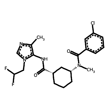 Cc1ncn(CC(F)F)c1NC(=O)[C@H]1CCC[C@@H](N(C)C(=O)c2cccc(Cl)c2)C1